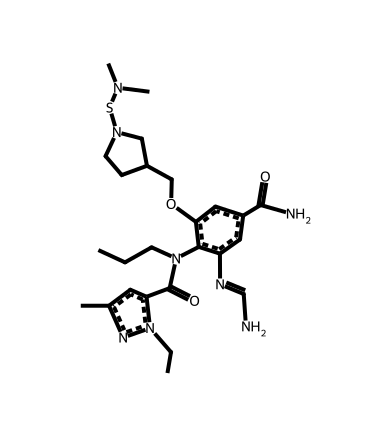 CCCN(C(=O)c1cc(C)nn1CC)c1c(/N=C/N)cc(C(N)=O)cc1OCC1CCN(SN(C)C)C1